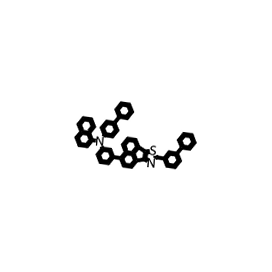 c1ccc(-c2ccc(N(c3cccc(-c4ccc5c6c(cccc46)-c4sc(-c6cccc(-c7ccccc7)c6)nc4-5)c3)c3cccc4ccccc34)cc2)cc1